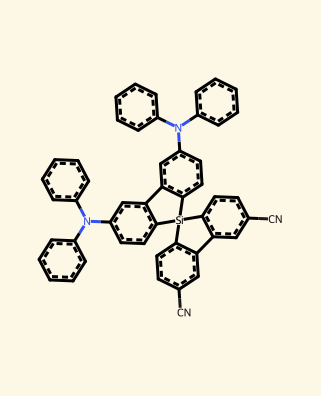 N#Cc1ccc2c(c1)-c1cc(C#N)ccc1[Si]21c2ccc(N(c3ccccc3)c3ccccc3)cc2-c2cc(N(c3ccccc3)c3ccccc3)ccc21